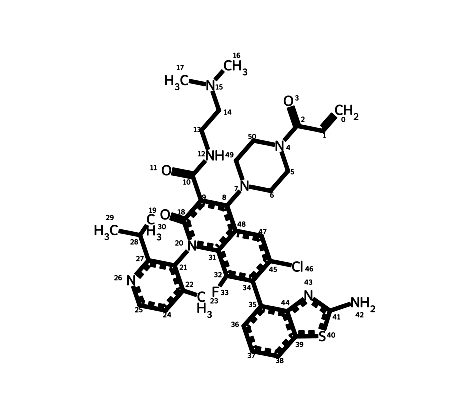 C=CC(=O)N1CCN(c2c(C(=O)NCCN(C)C)c(=O)n(-c3c(C)ccnc3C(C)C)c3c(F)c(-c4cccc5sc(N)nc45)c(Cl)cc23)CC1